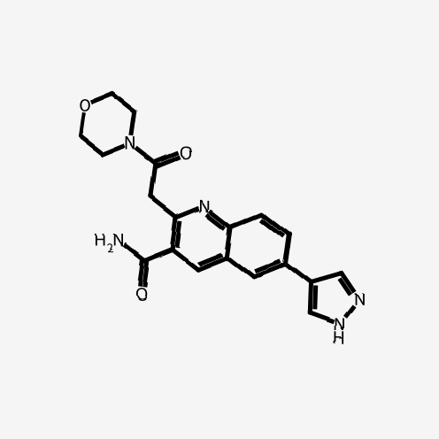 NC(=O)c1cc2cc(-c3cn[nH]c3)ccc2nc1CC(=O)N1CCOCC1